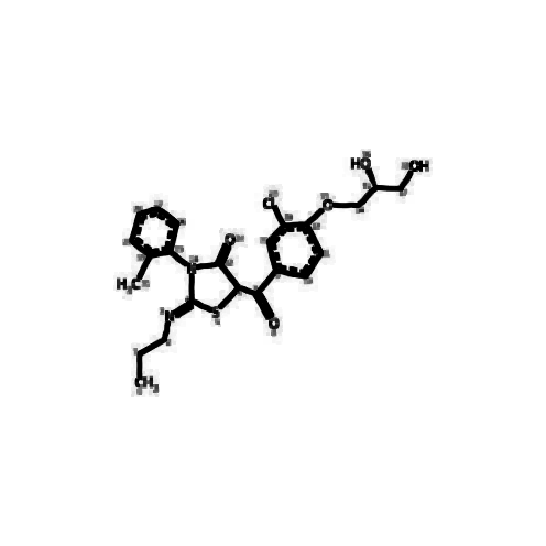 CCC/N=C1\SC(C(=O)c2ccc(OC[C@@H](O)CO)c(Cl)c2)C(=O)N1c1ccccc1C